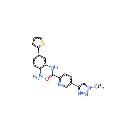 Cn1cc(-c2ccc(C(=O)Nc3cc(-c4cccs4)ccc3N)nc2)nn1